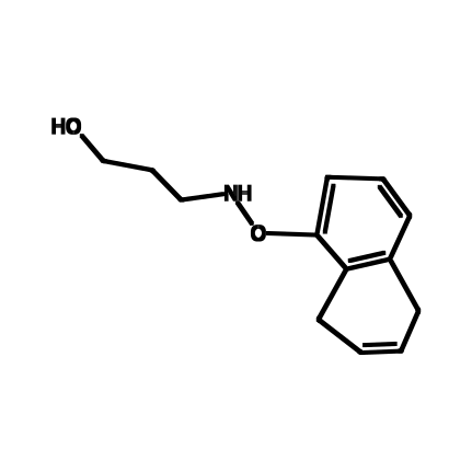 OCCCNOc1cccc2c1CC=CC2